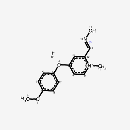 COc1ccc(Oc2cc[n+](C)c(/C=N/O)c2)cc1.[I-]